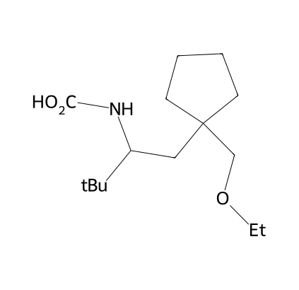 CCOCC1(CC(NC(=O)O)C(C)(C)C)CCCC1